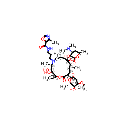 CC[C@H]1OC(=O)[C@H](C)[C@@H](O[C@H]2C[C@@](C)(OC)[C@@H](O)[C@H](C)O2)[C@H](C)[C@@H](O[C@@H]2O[C@H](C)C[C@H](N(C)C)[C@H]2O)[C@](C)(O)C[C@@H](C)CN(CCCNC(=O)c2ocnc2C)[C@H](C)[C@@H](O)[C@]1(C)O